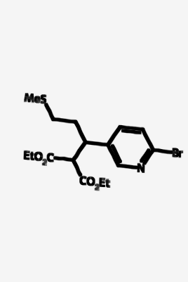 CCOC(=O)C(C(=O)OCC)C(CCSC)c1ccc(Br)nc1